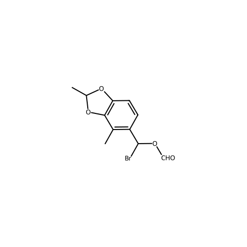 Cc1c(C(Br)OC=O)ccc2c1OC(C)O2